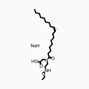 CCCCCCCC/C=C\CCCCCCCC(=O)N(CCNOCC)CC(=O)O.[NaH]